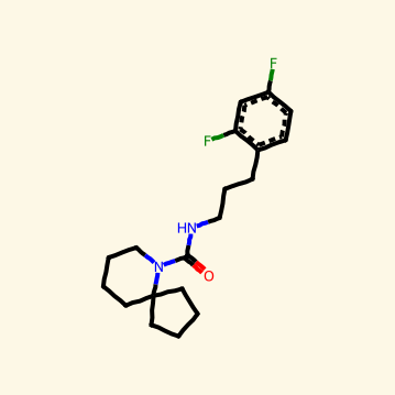 O=C(NCCCc1ccc(F)cc1F)N1CCCCC12CCCC2